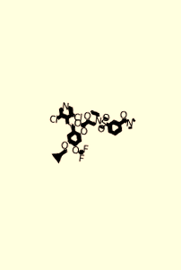 CN(C)C(=O)c1cccc(S(=O)(=O)N2CCOC(C(=O)O[C@@H](Cc3c(Cl)cncc3Cl)c3ccc(OC(F)F)c(OCC4CC4)c3)C2)c1